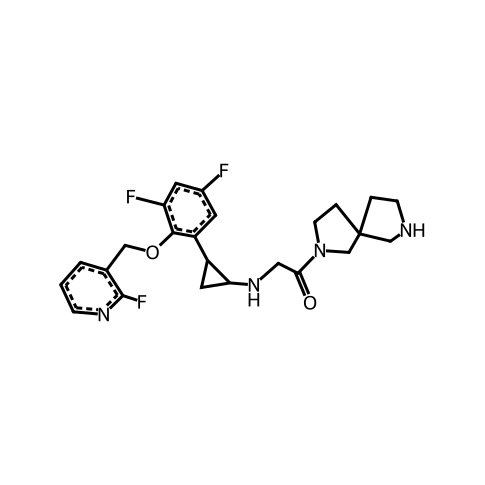 O=C(CNC1CC1c1cc(F)cc(F)c1OCc1cccnc1F)N1CCC2(CCNC2)C1